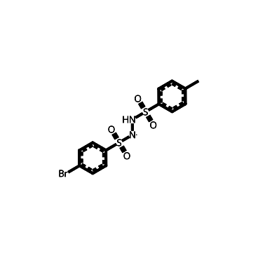 Cc1ccc(S(=O)(=O)N[N]S(=O)(=O)c2ccc(Br)cc2)cc1